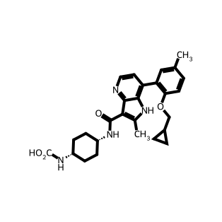 Cc1ccc(OCC2CC2)c(-c2ccnc3c(C(=O)N[C@H]4CC[C@@H](NC(=O)O)CC4)c(C)[nH]c23)c1